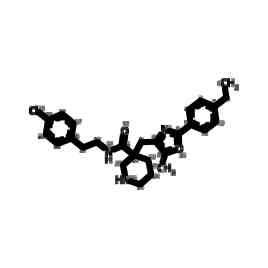 CCc1ccc(-c2nc(CC3(C(=O)NCCc4ccc(Cl)cc4)CCCNC3)c(C)o2)cc1